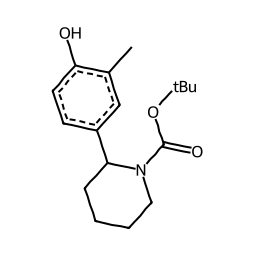 Cc1cc(C2CCCCN2C(=O)OC(C)(C)C)ccc1O